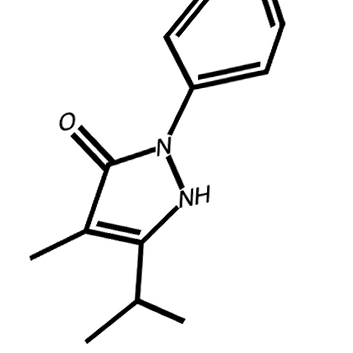 Cc1c(C(C)C)[nH]n(-c2ccccc2)c1=O